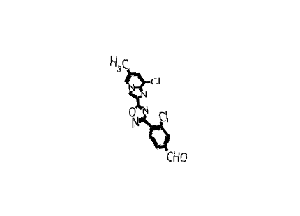 Cc1cc(Cl)c2nc(-c3nc(-c4ccc(C=O)cc4Cl)no3)cn2c1